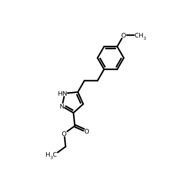 CCOC(=O)c1cc(CCc2ccc(OC)cc2)[nH]n1